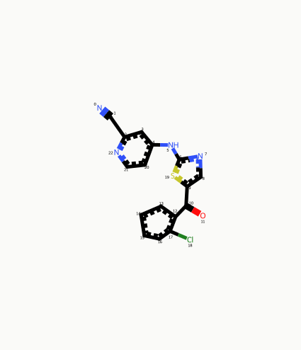 N#Cc1cc(Nc2ncc(C(=O)c3ccccc3Cl)s2)ccn1